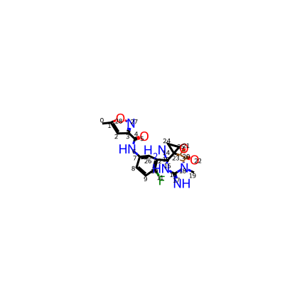 Cc1cc(C(=O)Nc2ccc(F)c([C@@]3(N)NC(=N)N(C)S(=O)(=O)C34CC4)c2)no1